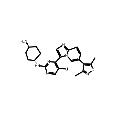 Cc1noc(C)c1-c1ccc2ncc(-c3nc(N[C@H]4CC[C@H](N)CC4)ncc3Cl)n2c1